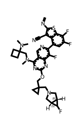 C=Nc1sc2c(F)c(F)cc(-c3ncc4c(N(C)CC5(N(C)C)CCC5)nc(OCC5(CN6C[C@@H]7C(F)[C@@H]7C6)CC5)nc4c3F)c2c1C#N